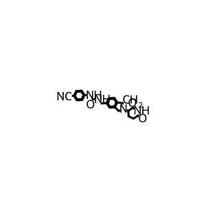 C=C1c2ccc(CNC(=O)Nc3ccc(C#N)cc3)cc2CN1C1CCC(=O)NC1=O